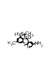 Cc1cc(C)c2c(c1)Sc1ncc(N)cc1C(=O)N2C(C)C